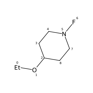 CCOC1CCN(F)CC1